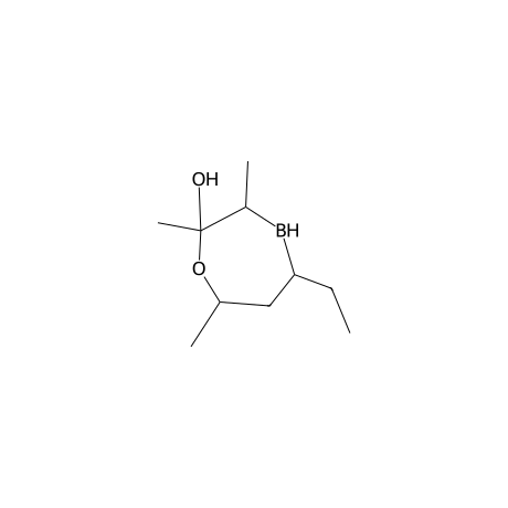 CCC1BC(C)C(C)(O)OC(C)C1